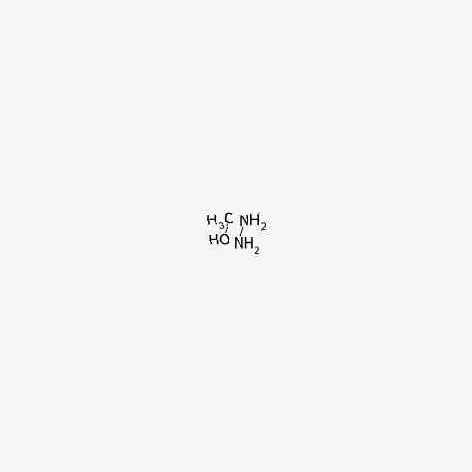 CO.NN